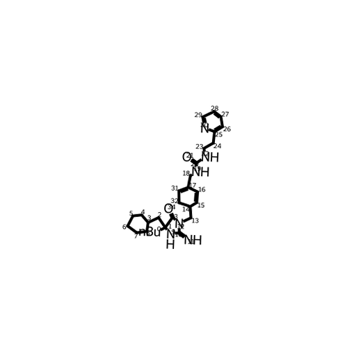 CCCCC1(CC2CCCCC2)NC(=N)N(CC2C=CC(CNC(=O)NCCc3ccccn3)=CC2)C1=O